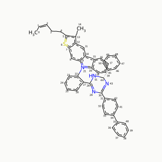 C/C=C\CCc1sc2cc3c(cc2c1C)c1ccccc1n3-c1ccccc1C1=NC(c2ccc(-c3ccccc3)cc2)=N[C@@H](c2ccccc2)N1